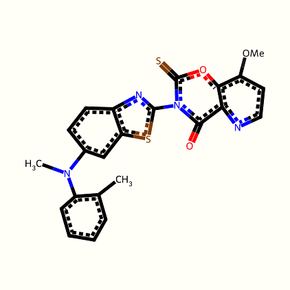 COc1ccnc2c(=O)n(-c3nc4ccc(N(C)c5ccccc5C)cc4s3)c(=S)oc12